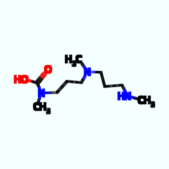 CNCCCN(C)CCCN(C)C(=O)O